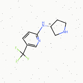 FC(F)(F)c1ccc(N[C@@H]2CCNC2)nc1